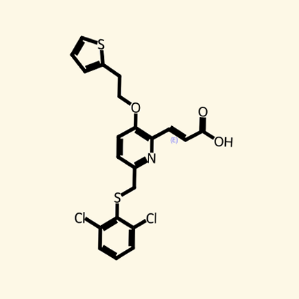 O=C(O)/C=C/c1nc(CSc2c(Cl)cccc2Cl)ccc1OCCc1cccs1